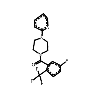 O=C(c1cc(F)ccc1C(F)(F)F)N1CCN(c2ccccn2)CC1